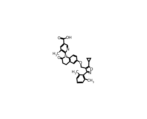 Cc1cc(C(=O)O)cnc1N1C(=O)CCc2cc(OCc3c(-c4c(C)cccc4C)noc3C3CC3)ccc21